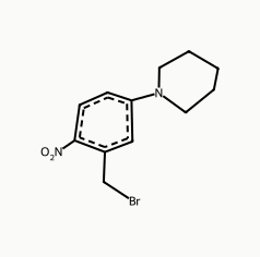 O=[N+]([O-])c1ccc(N2CCCCC2)cc1CBr